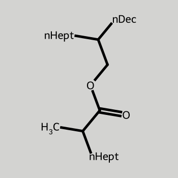 CCCCCCCCCCC(CCCCCCC)COC(=O)C(C)CCCCCCC